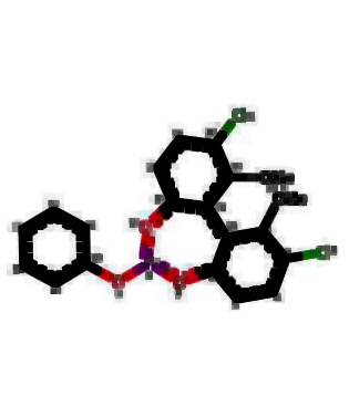 COc1c(Cl)ccc2op(Oc3ccccc3)oc3ccc(Cl)c(OC)c3c12